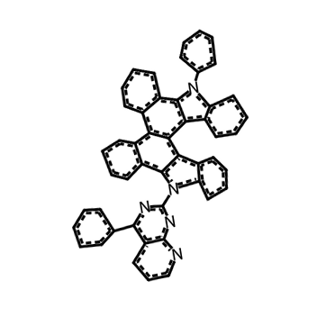 c1ccc(-c2nc(-n3c4ccccc4c4c5c(c6ccccc6c6c5c5ccccc5n6-c5ccccc5)c5ccccc5c43)nc3ncccc23)cc1